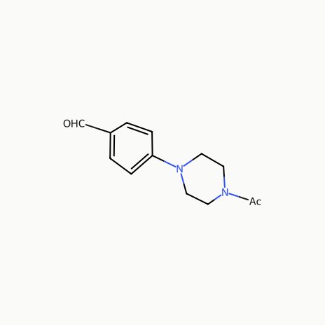 CC(=O)N1CCN(c2ccc(C=O)cc2)CC1